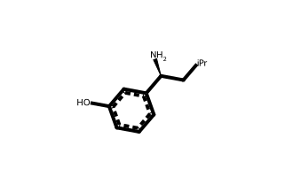 CC(C)C[C@H](N)c1cccc(O)c1